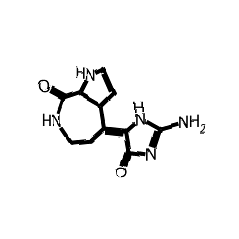 NC1=NC(=O)/C(=C2\CCNC(=O)C3NC=CC23)N1